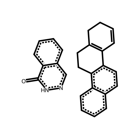 C1=CC2=C(CC1)CCc1c2ccc2ccccc12.O=c1[nH]ncc2ccccc12